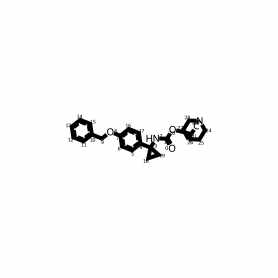 O=C(NC1(c2ccc(OCc3ccccc3)cc2)CC1)OC1CN2CCC1CC2